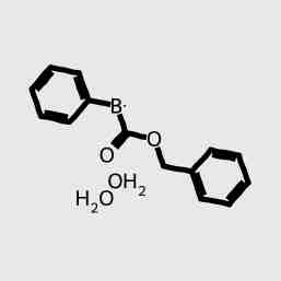 O.O.O=C([B]c1ccccc1)OCc1ccccc1